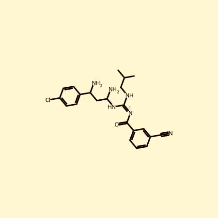 CC(C)CN/C(=N/C(=O)c1cccc(C#N)c1)NC(N)CC(N)c1ccc(Cl)cc1